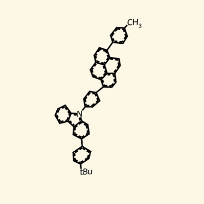 Cc1ccc(-c2ccc3ccc4c(-c5ccc(-n6c7ccccc7c7cc(-c8ccc(C(C)(C)C)cc8)ccc76)cc5)ccc5ccc2c3c54)cc1